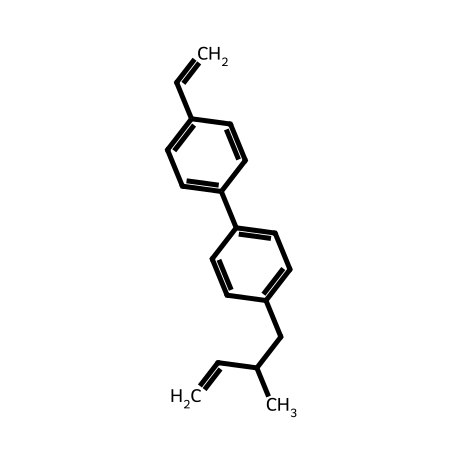 C=Cc1ccc(-c2ccc(CC(C)C=C)cc2)cc1